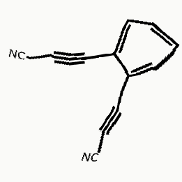 N#CC#Cc1ccccc1C#CC#N